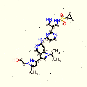 Cc1cc(-c2cn(C(C)C)c3cc(Nc4ccnc(/C(C=N)=C/NS(=O)(=O)C5CC5)n4)ncc23)nn1CCO